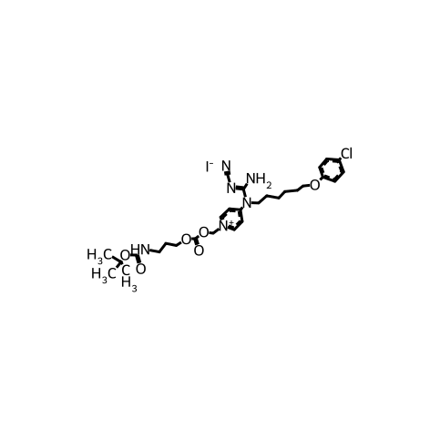 CC(C)(C)OC(=O)NCCCOC(=O)OC[n+]1ccc(N(CCCCCCOc2ccc(Cl)cc2)C(N)=NC#N)cc1.[I-]